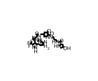 Nc1ccc(-c2[nH]nc(C(F)(F)F)c2-c2cnc(C(=O)NCc3ccc(C(=O)NCCCNC(=O)[C@@H]4C[C@@H](O)CN4)c(Cl)c3)[nH]2)nc1